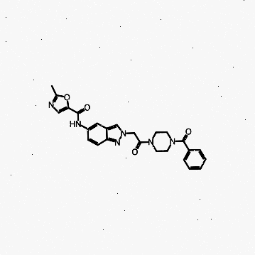 Cc1ncc(C(=O)Nc2ccc3nn(CC(=O)N4CCN(C(=O)c5ccccc5)CC4)cc3c2)o1